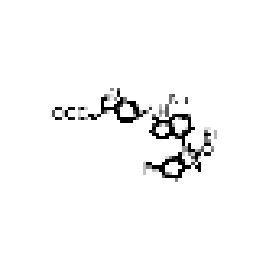 CCOc1nc2ccc(F)cc2n1-c1cccc2c1CCC2Nc1ccc2c(c1)OC[C@H]2CC(=O)[O-].[Na+]